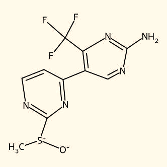 C[S+]([O-])c1nccc(-c2cnc(N)nc2C(F)(F)F)n1